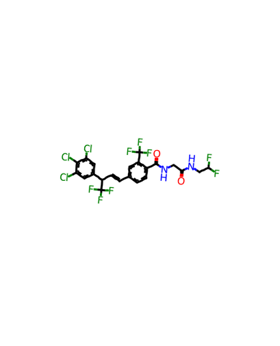 O=C(CNC(=O)c1ccc(/C=C/C(c2cc(Cl)c(Cl)c(Cl)c2)C(F)(F)F)cc1C(F)(F)F)NCC(F)F